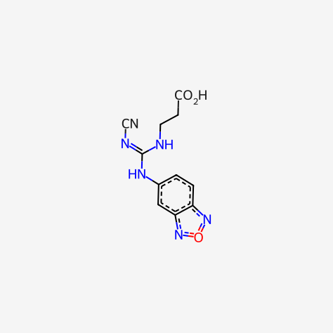 N#CN=C(NCCC(=O)O)Nc1ccc2nonc2c1